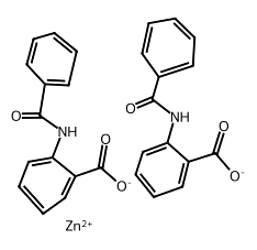 O=C(Nc1ccccc1C(=O)[O-])c1ccccc1.O=C(Nc1ccccc1C(=O)[O-])c1ccccc1.[Zn+2]